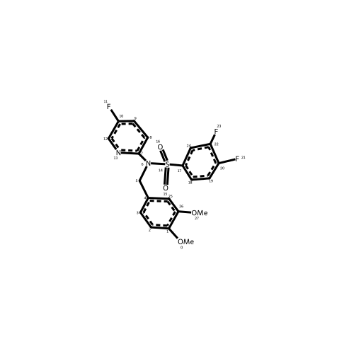 COc1ccc(CN(c2ccc(F)cn2)S(=O)(=O)c2ccc(F)c(F)c2)cc1OC